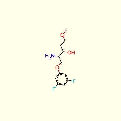 COCCC(O)C(N)COc1cc(F)cc(F)c1